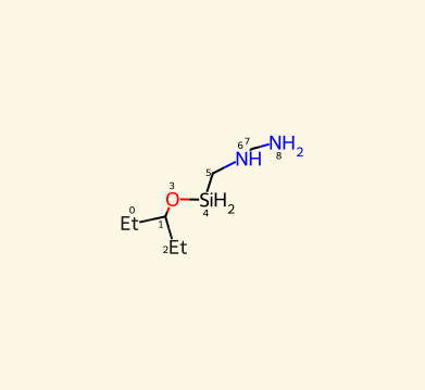 CCC(CC)O[SiH2]CNCN